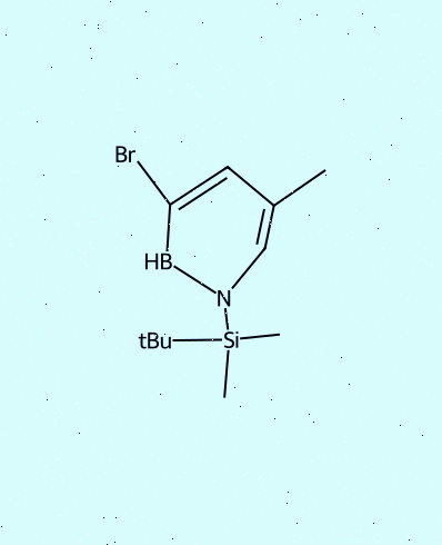 CC1=CN([Si](C)(C)C(C)(C)C)BC(Br)=C1